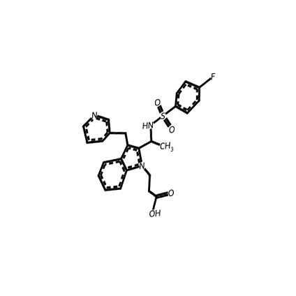 CC(NS(=O)(=O)c1ccc(F)cc1)c1c(Cc2cccnc2)c2ccccc2n1CCC(=O)O